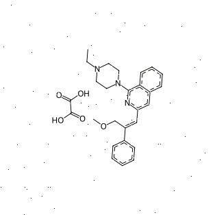 CCN1CCN(c2nc(C=C(COC)c3ccccc3)cc3ccccc23)CC1.O=C(O)C(=O)O